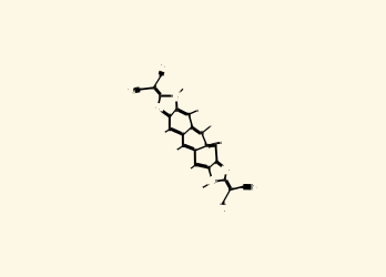 Cn1c(=C(C#N)C#N)nc2c(F)c3c(F)c4c(F)c5c(nc(=C(C#N)C#N)n5C)c(F)c4c(F)c3c(F)c21